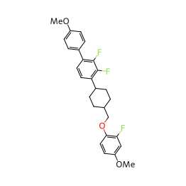 COc1ccc(-c2ccc(C3CCC(COc4ccc(OC)cc4F)CC3)c(F)c2F)cc1